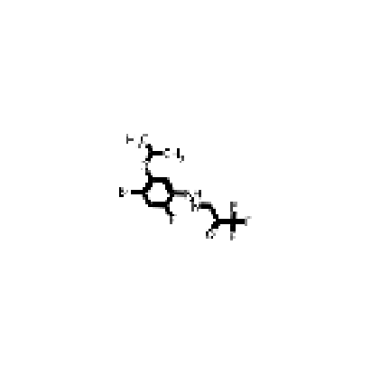 CC(C)Oc1cc(NN=CC(=O)C(F)(F)F)c(F)cc1Br